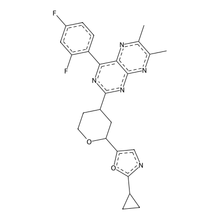 Cc1nc2nc(C3CCOC(c4cnc(C5CC5)o4)C3)nc(-c3ccc(F)cc3F)c2nc1C